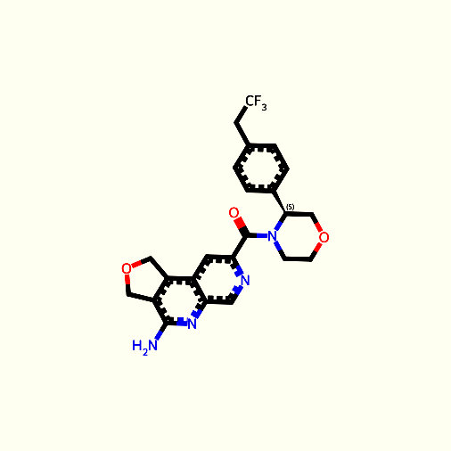 Nc1nc2cnc(C(=O)N3CCOC[C@@H]3c3ccc(CC(F)(F)F)cc3)cc2c2c1COC2